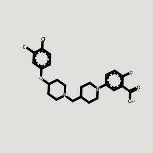 O=C(O)c1cc(N2CCC(CN3CCC(Oc4ccc(Cl)c(Cl)c4)CC3)CC2)ccc1Cl